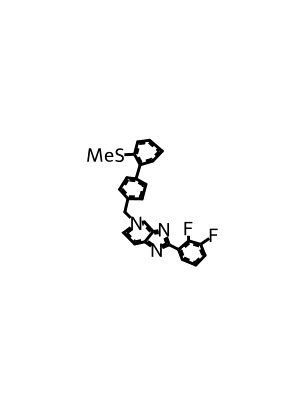 CSc1ccccc1-c1ccc(Cn2ccc3nc(-c4cccc(F)c4F)nc-3c2)cc1